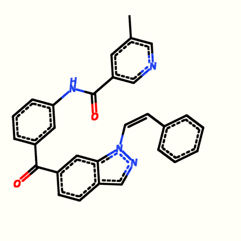 Cc1cncc(C(=O)Nc2cccc(C(=O)c3ccc4cnn(C=Cc5ccccc5)c4c3)c2)c1